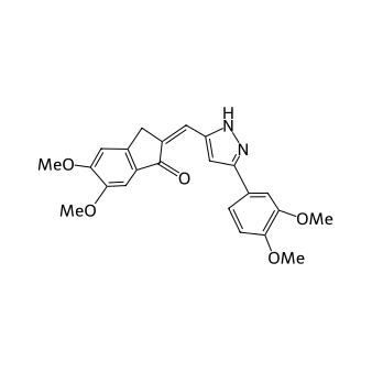 COc1ccc(-c2cc(C=C3Cc4cc(OC)c(OC)cc4C3=O)[nH]n2)cc1OC